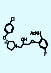 CC(=O)Nc1ccc(F)cc1OCC(O)CN1CC[C@H](Oc2ccc(Cl)cc2)C1